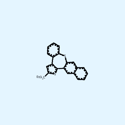 CCOC(=O)c1cc2c(s1)-c1cc3ccccc3cc1Sc1ccccc1-2